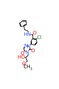 COCC(O)Cn1c(=O)cnn(-c2ccc(Cl)c(C(=O)NCCc3ccccc3)c2)c1=O